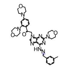 Cc1cccc(/C=N/Nc2nc(N3CCOCC3)nc3c2ncn3CC(=O)c2ccc(N3CCOCC3)cc2N2CCOCC2)c1